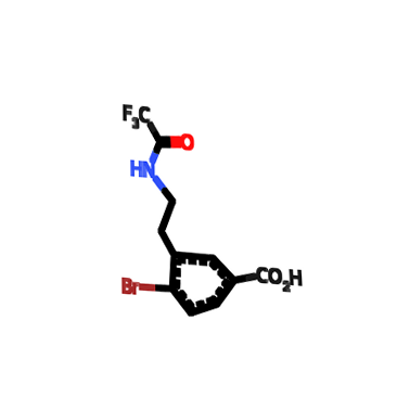 O=C(O)c1ccc(Br)c(CCNC(=O)C(F)(F)F)c1